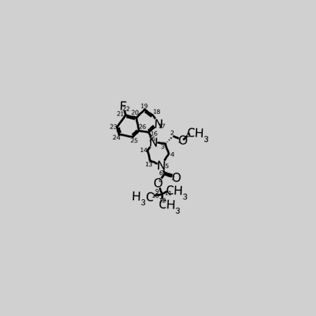 COC[C@@H]1CN(C(=O)OC(C)(C)C)CCN1c1nccc2c(F)cccc12